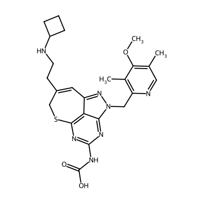 COc1c(C)cnc(Cn2nc3c4c(nc(NC(=O)O)nc42)SCC(CCNC2CCC2)=C3)c1C